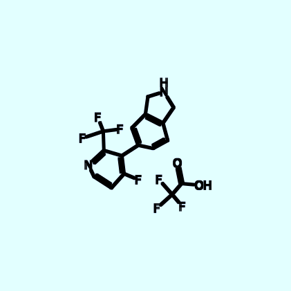 Fc1ccnc(C(F)(F)F)c1-c1ccc2c(c1)CNC2.O=C(O)C(F)(F)F